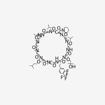 CC[C@H](C)[C@@H]1NC(=O)[C@H](CC(C)C)N(C)C(=O)C[C@@H](C(=O)N2CCCCC2)N(C)C(=O)[C@H](CC(C)C)N(C)C(=O)C(C)(C)NC(=O)[C@H](COCC(C)(C)O)N(C)C(=O)[C@H](CCc2ccc(C(F)(F)F)c(F)c2)NC(=O)CN(C)C(=O)[C@H](COCCC(C)C)N(C)C(=O)CN(C)C(=O)CN(C)C1=O